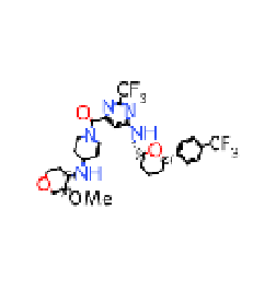 CO[C@H]1COCC[C@H]1NC1CCN(C(=O)c2cc(NC[C@H]3CCC[C@@H](c4ccc(C(F)(F)F)cc4)O3)nc(C(F)(F)F)n2)CC1